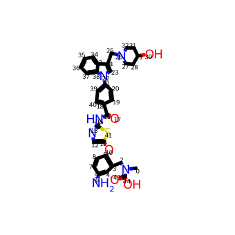 CN(Cc1cc(N)ccc1Oc1cnc(NC(=O)c2ccc(-n3cc(CN4CCC(O)CC4)c4ccccc43)cc2)s1)C(=O)O